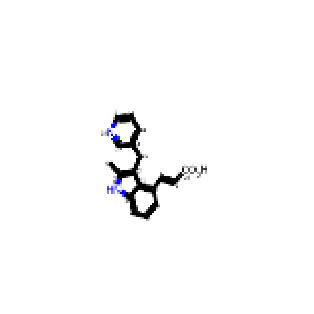 Cc1[nH]c2cccc(C=CC(=O)O)c2c1Cc1cccnc1